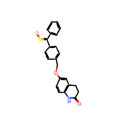 O=S=C(c1ccccc1)c1ccc(COc2ccc3c(c2)CCC(=O)N3)cc1